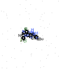 CN(C)CC1C=CC=CC1(C)[C@H](Nc1cc(Cl)c2ncc(C#N)c(Nc3ccc(F)c(Cl)c3)c2c1)C1=CN(C2CCN(C(C)(C)C)CC2)NN1